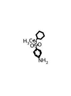 CN(C1CCCCC1)S(=O)(=O)c1ccc(N)cc1